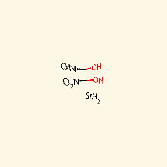 O=NO.O=[N+]([O-])O.[SrH2]